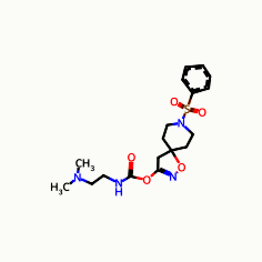 CN(C)CCNC(=O)OC1=NOC2(CCN(S(=O)(=O)c3ccccc3)CC2)C1